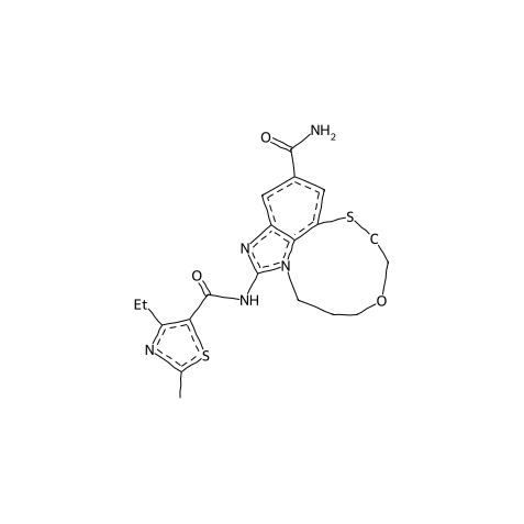 CCc1nc(C)sc1C(=O)Nc1nc2cc(C(N)=O)cc3c2n1CCCOCCS3